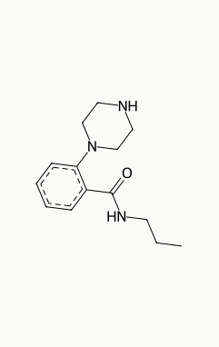 CCCNC(=O)c1ccccc1N1CCNCC1